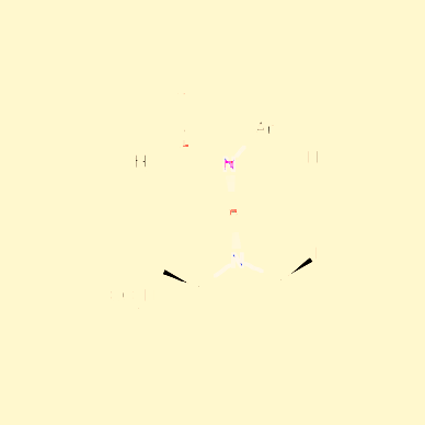 CC(=O)N(c1ccccc1CCC(=O)O)[C@H]1C[C@H]2CCC[C@@H](C1)N2[C@H]1C[C@@H]2CCC[C@@H](C2)C1